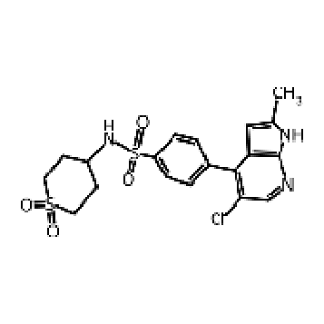 Cc1cc2c(-c3ccc(S(=O)(=O)NC4CCS(=O)(=O)CC4)cc3)c(Cl)cnc2[nH]1